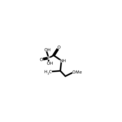 COCC(C)NC(=O)P(=O)(O)O